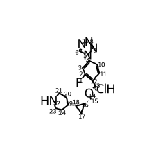 Cl.Fc1cc(-n2cnnn2)ccc1COC[C@@H]1C[C@@H]1C1CCNCC1